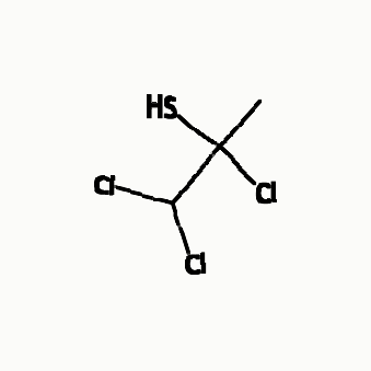 CC(S)(Cl)C(Cl)Cl